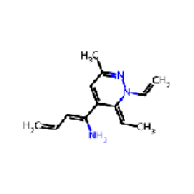 C=C/C=C(\N)C1=CC(C)=NN(C=C)/C1=C\C